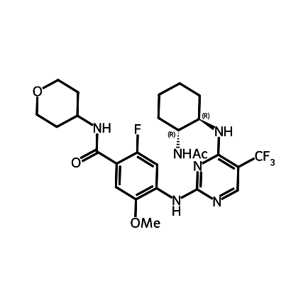 COc1cc(C(=O)NC2CCOCC2)c(F)cc1Nc1ncc(C(F)(F)F)c(N[C@@H]2CCCC[C@H]2NC(C)=O)n1